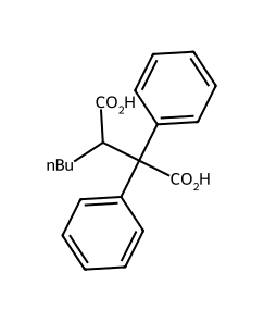 CCCCC(C(=O)O)C(C(=O)O)(c1ccccc1)c1ccccc1